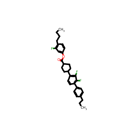 CCCCc1ccc(OC(=O)C2CCC(c3ccc(-c4ccc(CCC)cc4)c(F)c3F)CC2)cc1F